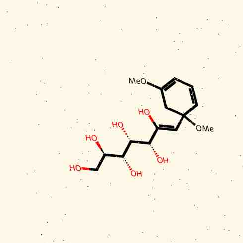 COC1=CC=CC(C=C(O)[C@H](O)[C@@H](O)[C@H](O)[C@H](O)CO)(OC)C1